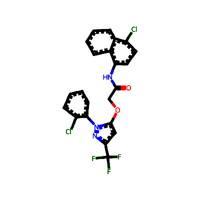 O=C(COc1cc(C(F)(F)F)nn1-c1ccccc1Cl)Nc1ccc(Cl)c2ccccc12